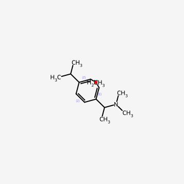 C\C=C(/C=C\C(=C/N)C(C)N(C)C)C(C)C